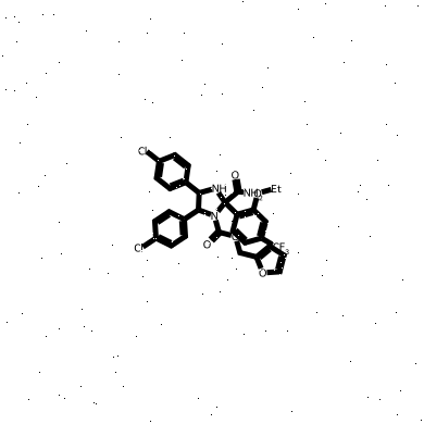 CCOc1cc(C(F)(F)F)ccc1C1(C(N)=O)NC(c2ccc(Cl)cc2)C(c2ccc(Cl)cc2)N1C(=O)OCc1ccco1